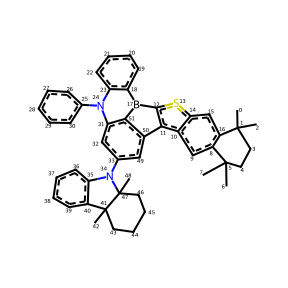 CC1(C)CCC(C)(C)c2cc3c4c(sc3cc21)B1c2ccccc2N(c2ccccc2)c2cc(N3c5ccccc5C5(C)CCCCC35C)cc-4c21